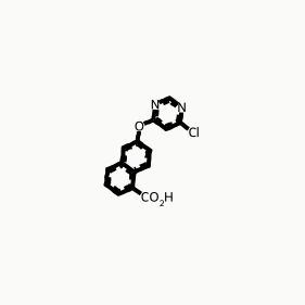 O=C(O)c1cccc2cc(Oc3cc(Cl)ncn3)ccc12